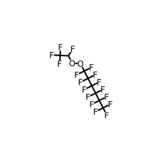 F[C](OOC(F)(F)C(F)(F)C(F)(F)C(F)(F)C(F)(F)C(F)(F)F)C(F)(F)F